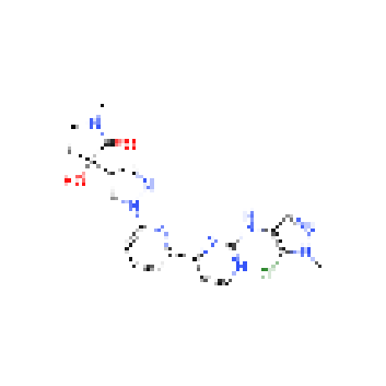 CN1CCC(O)(c2cnn(-c3cccc(-c4ccnc(Nc5cnn(C)c5Cl)n4)n3)c2)C1=O